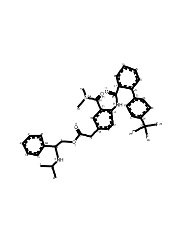 CC(C)NC(COC(=O)Cc1ccc(NC(=O)c2ccccc2-c2ccc(C(F)(F)F)cc2)c(C(=O)N(C)C)c1)c1ccccc1